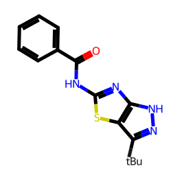 CC(C)(C)c1n[nH]c2nc(NC(=O)c3ccccc3)sc12